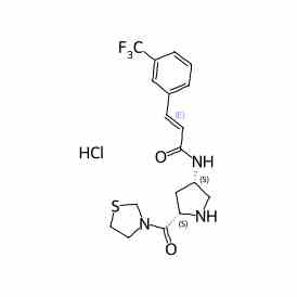 Cl.O=C(/C=C/c1cccc(C(F)(F)F)c1)N[C@@H]1CN[C@H](C(=O)N2CCSC2)C1